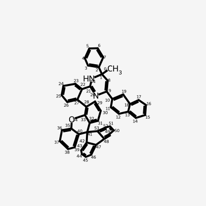 CC1(c2ccccc2)C=C(c2ccc3ccccc3c2)N=C(c2ccccc2-c2cccc3c2Oc2ccccc2C32c3ccccc3-c3ccccc32)N1